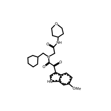 COc1ccc2c(C(=O)C(=O)N(CC(=O)NC3CCOCC3)CC3CCCCC3)c[nH]c2c1